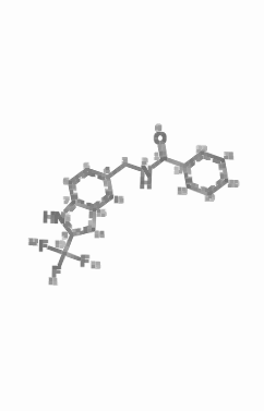 O=C(NCc1ccc2[nH]c(C(F)(F)F)cc2c1)c1ccccc1